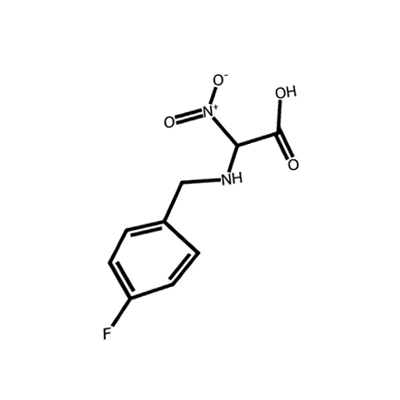 O=C(O)C(NCc1ccc(F)cc1)[N+](=O)[O-]